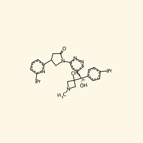 CC(C)c1ccc([C@](O)(c2cnnc(N3CC(c4cccc(C(C)C)n4)CC3=O)c2)C2(C)CN(C)C2)cc1